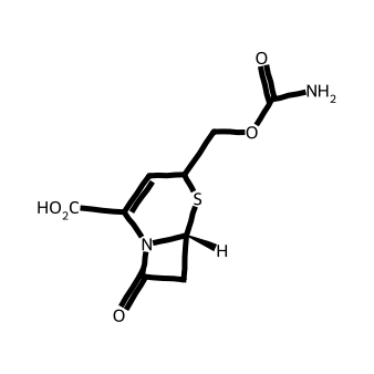 NC(=O)OCC1C=C(C(=O)O)N2C(=O)C[C@H]2S1